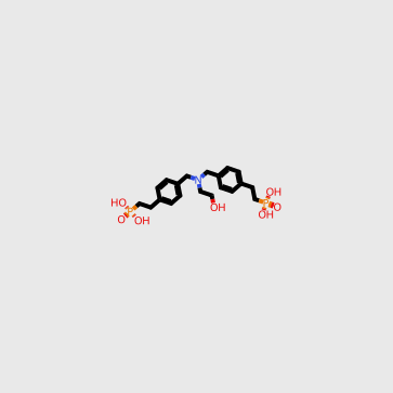 O=P(O)(O)CCc1ccc(CN(CCO)Cc2ccc(CCP(=O)(O)O)cc2)cc1